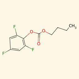 CCCCOC(=O)Oc1c(F)cc(F)cc1F